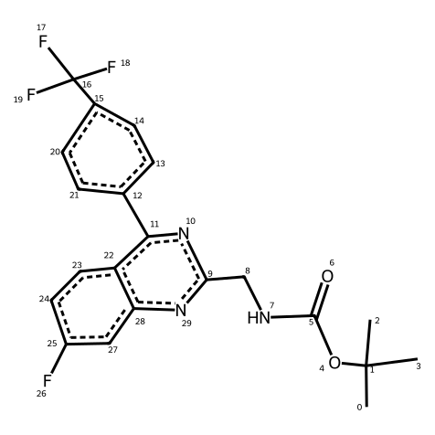 CC(C)(C)OC(=O)NCc1nc(-c2ccc(C(F)(F)F)cc2)c2ccc(F)cc2n1